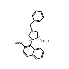 COc1ccc2ccccc2c1[C@H]1CN(Cc2ccccc2)C[C@@H]1C(=O)O